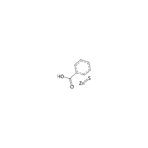 O=C(O)c1ccccc1.[S]=[Zn]